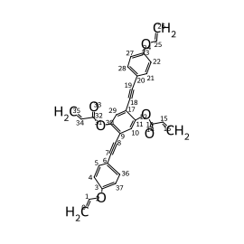 C=COc1ccc(C#Cc2cc(OC(=O)C=C)c(C#Cc3ccc(OC=C)cc3)cc2OC(=O)C=C)cc1